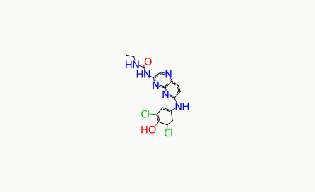 CCNC(=O)Nc1cnc2ccc(NC3=CC(Cl)=C(O)C(Cl)C3)nc2n1